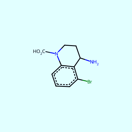 NC1CCN(C(=O)O)c2cccc(Br)c21